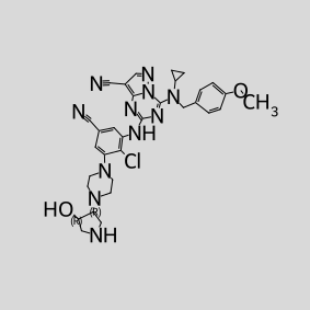 COc1ccc(CN(c2nc(Nc3cc(C#N)cc(N4CCN([C@@H]5CNC[C@H]5O)CC4)c3Cl)nc3c(C#N)cnn23)C2CC2)cc1